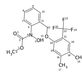 COC(=O)N(O)c1ccccc1COc1cc(C)c(C)cc1C(F)(F)F